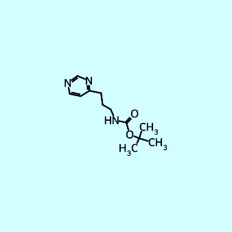 CC(C)(C)OC(=O)NCCCc1ccncn1